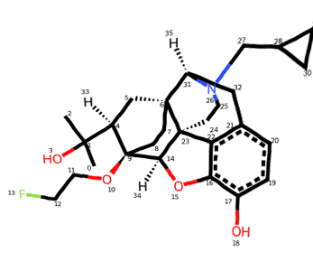 CC(C)(O)[C@H]1C[C@@]23CC[C@]1(OCCF)[C@@H]1Oc4c(O)ccc5c4[C@@]12CCN(CC1CC1)[C@@H]3C5